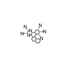 N#Cc1cc2c3nc(C#N)c(C#N)nc3c3ccc4ccccc4c3c2c(C#N)c1C#N